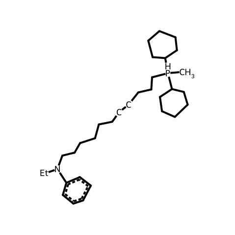 CCN(CCCCCCCCCCC[PH](C)(C1CCCCC1)C1CCCCC1)c1ccccc1